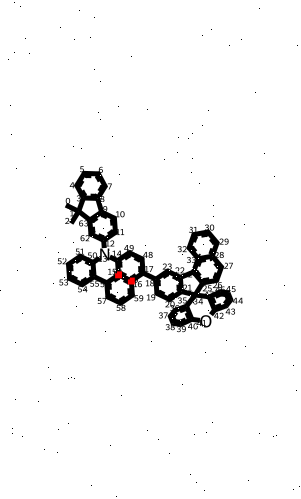 CC1(C)c2ccccc2-c2ccc(N(c3ccc(-c4ccc5c(c4)-c4c(ccc6ccccc46)C54c5ccccc5Oc5ccccc54)cc3)c3ccccc3-c3ccccc3)cc21